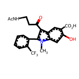 CC(=O)NCCC(=O)c1c(-c2ccccc2C(F)(F)F)n(C)c2cc(O)c(C(=O)O)cc12